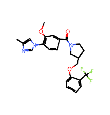 COc1cc(C(=O)N2CCC(COc3ccccc3C(F)(F)F)C2)ccc1-n1cnc(C)c1